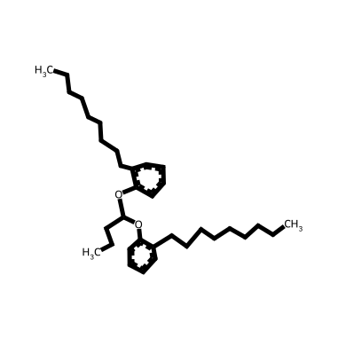 CCCCCCCCCc1ccccc1OC(CCC)Oc1ccccc1CCCCCCCCC